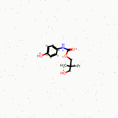 CCCC(C)(CO)COC(=O)Nc1ccc(O)cc1